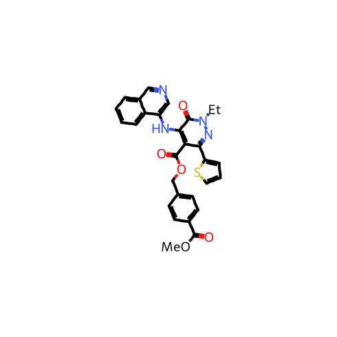 CCn1nc(-c2cccs2)c(C(=O)OCc2ccc(C(=O)OC)cc2)c(Nc2cncc3ccccc23)c1=O